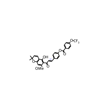 COc1cc2c(c(O)c1C(=O)/C=C/c1ccc(OC(=O)c3ccc(OC(F)(F)F)cc3)cc1)C=CC(C)(C)O2